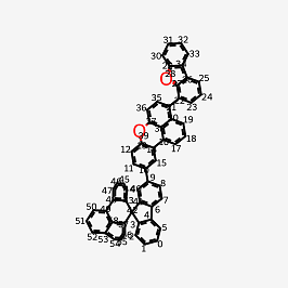 c1ccc2c(c1)-c1ccc(-c3ccc4c(c3)-c3cccc5c(-c6cccc7c6oc6ccccc67)ccc(c35)O4)cc1C21c2ccccc2-c2cccc3cccc1c23